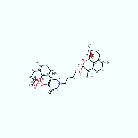 C=CCN(CCCCO[C@@]1(C)O[C@@H]2O[C@]3(C)CCC4[C@H](C)CC[C@@H]([C@H]1C)[C@]42OO3)CC1=C(C(F)(F)F)O[C@@H]2O[C@]3(C)CCC4[C@H](C)CC[C@@H]1[C@]42O3